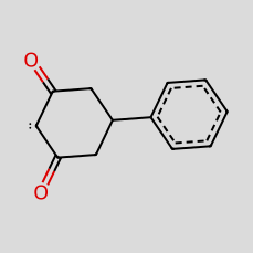 O=C1[C]C(=O)CC(c2ccccc2)C1